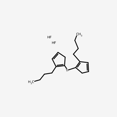 CCCCC1=[C]([Ti][C]2=C(CCCC)C=CC2)CC=C1.F.F